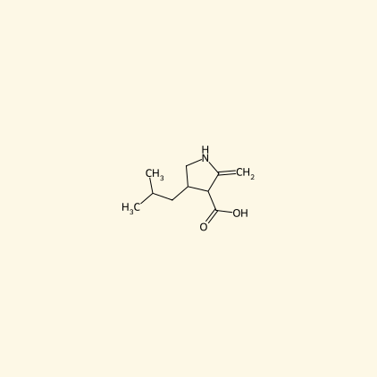 C=C1NCC(CC(C)C)C1C(=O)O